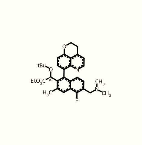 CCOC(=O)[C@@H](OC(C)(C)C)c1c(C)cc2c(F)c(CN(C)C)ccc2c1-c1ccc2c3c(ccnc13)CCO2